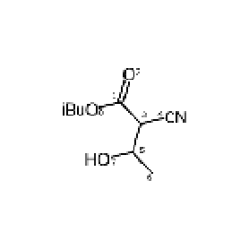 CC(C)COC(=O)C(C#N)C(C)O